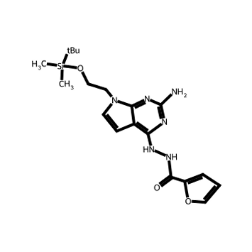 CC(C)(C)[Si](C)(C)OCCn1ccc2c(NNC(=O)c3ccco3)nc(N)nc21